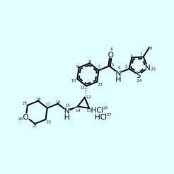 Cc1cc(NC(=O)c2cccc([C@@H]3C[C@H]3NCC3CCOCC3)c2)sn1.Cl.Cl